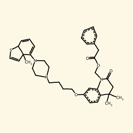 CC1(C)CC(=O)N(COC(=O)Cc2ccccc2)c2cc(OCCCCN3CCN(C4=CC=CC5SC=CC45C)CC3)ccc21